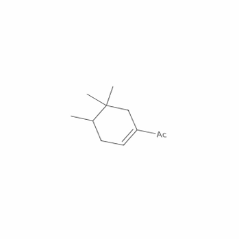 CC(=O)C1=CCC(C)C(C)(C)C1